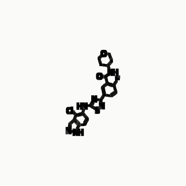 O=C(NC1CCOCC1)c1cc(-c2nsc(Nc3ccc4[nH]ncc4c3Cl)n2)ccc1F